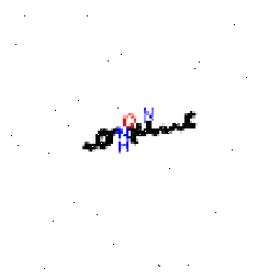 C=Cc1ccc(CNC(=O)C(C)(CC)CC(C#N)CC=CCCC(C)C=C)cc1